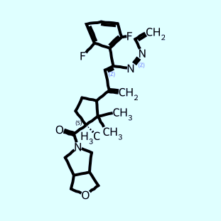 C=C/N=N\C(=C/C(=C)C1CC[C@](C)(C(=O)N2CC3COCC3C2)C1(C)C)c1c(F)cccc1F